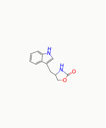 O=C1NC(Cc2c[nH]c3ccccc23)CO1